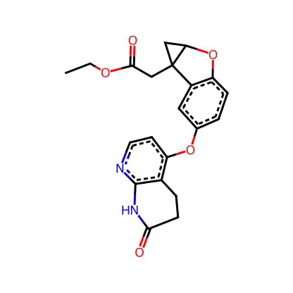 CCOC(=O)CC12CC1Oc1ccc(Oc3ccnc4c3CCC(=O)N4)cc12